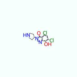 O=c1c2c(Cl)cc(Cl)c(O)c2ncn1C1CCNCC1